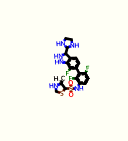 CC1NCSC1S(=O)(=O)Nc1ccc(F)c(-c2ccc3c(c2F)NNC3C2NCCN2)c1F